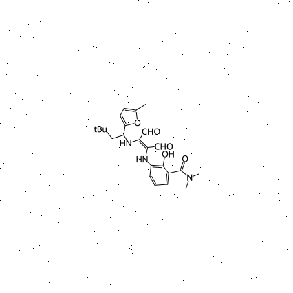 Cc1ccc(C(CC(C)(C)C)N/C(C=O)=C(/C=O)Nc2cccc(C(=O)N(C)C)c2O)o1